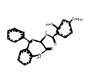 COc1ccc(C(=O)NC2N=C(c3ccccc3)c3ccccc3NC2=O)c(OC)c1